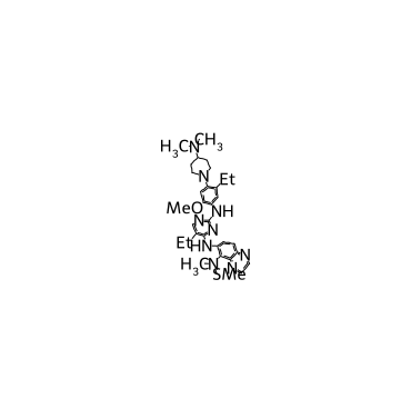 CCc1cc(Nc2ncc(CC)c(Nc3ccc4nccnc4c3N(C)SC)n2)c(OC)cc1N1CCC(N(C)C)CC1